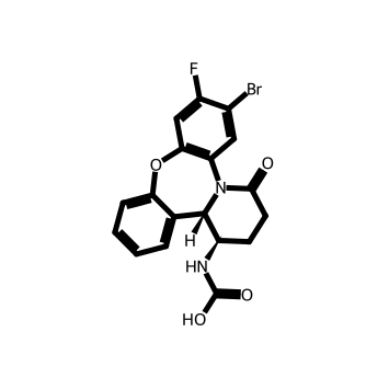 O=C(O)N[C@@H]1CCC(=O)N2c3cc(Br)c(F)cc3Oc3ccccc3[C@@H]12